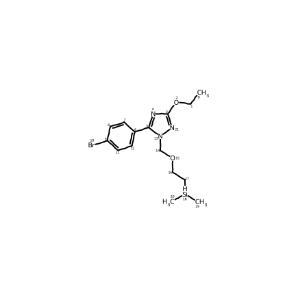 CCOc1nc(-c2ccc(Br)cc2)n(COCC[SiH](C)C)n1